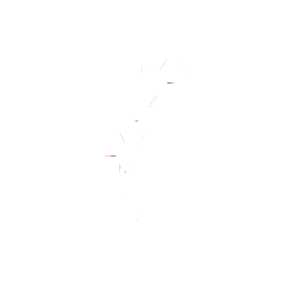 O=C(NCC1CCOCC1)c1ccc(C#Cc2ccccc2F)cc1